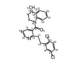 CN1CCN(C(=O)c2cncnc2CCc2cc(Cl)ccc2Cl)c2ccccc21